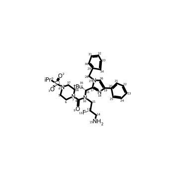 CC(C)S(=O)(=O)N1CCN(C(=O)N(C[C@@H](F)CN)[C@@H](c2nc(-c3ccccc3)cn2Cc2ccccc2)C(C)(C)C)CC1